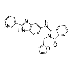 O=C1c2ccccc2C(Nc2ccc3[nH]c(-c4cccnc4)nc3c2)N1Cc1ccco1